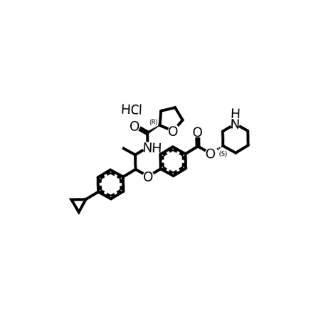 CC(NC(=O)[C@H]1CCCO1)C(Oc1ccc(C(=O)O[C@H]2CCCNC2)cc1)c1ccc(C2CC2)cc1.Cl